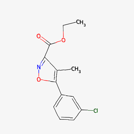 CCOC(=O)c1noc(-c2cccc(Cl)c2)c1C